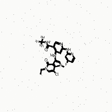 [2H]C([2H])([2H])NC(=O)c1cnc(Nc2cc(F)ccn2)cc1Nc1cn(C)c2c(Cl)cn(CC)c(=O)c12